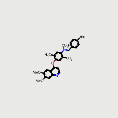 COc1cc2nccc(Oc3cc(C)c(N(Cc4ccc(C(C)(C)C)cc4)C(=O)O)cc3C)c2cc1OC